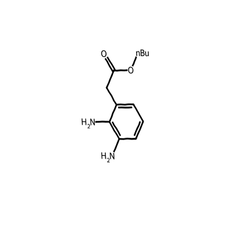 CCCCOC(=O)Cc1cccc(N)c1N